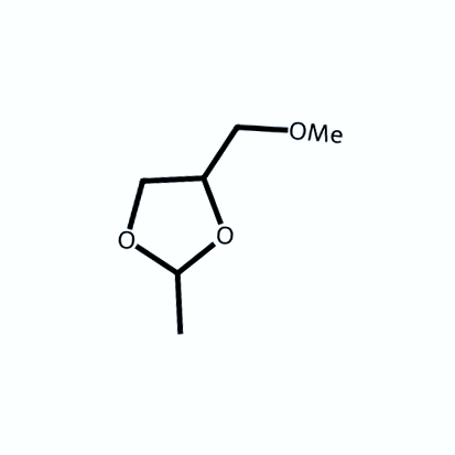 COCC1COC(C)O1